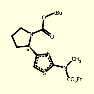 CCOC(=O)N(C)c1nc([C@H]2CCCN2C(=O)OC(C)(C)C)cs1